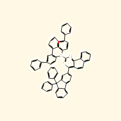 c1ccc(-c2ccc(N(c3nc(-c4ccc5c(c4)C(c4ccccc4)(c4ccccc4)c4ccccc4-5)c4ccc5ccccc5c4n3)c3ccc(-c4ccccc4)cc3-c3ccccc3)cc2)cc1